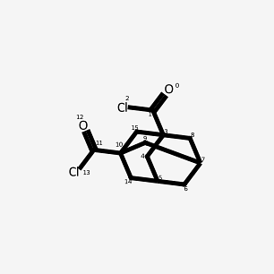 O=C(Cl)C12CC3CC(C1)CC(C(=O)Cl)(C3)C2